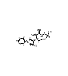 CCN(C(=O)C(=N)SCC(F)(F)F)c1cn(-c2cccnc2)nc1Cl